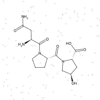 NC(=O)C[C@H](N)C(=O)N1CCC[C@H]1C(=O)N1C[C@H](O)C[C@H]1C(=O)O